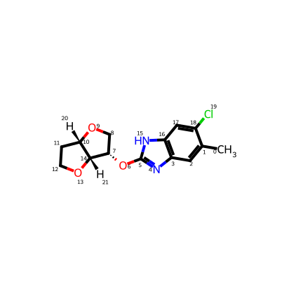 Cc1cc2nc(O[C@H]3CO[C@H]4CCO[C@H]43)[nH]c2cc1Cl